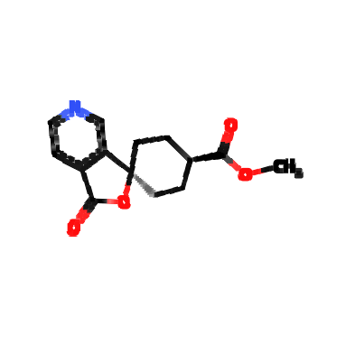 COC(=O)[C@H]1CC[C@]2(CC1)OC(=O)c1ccncc12